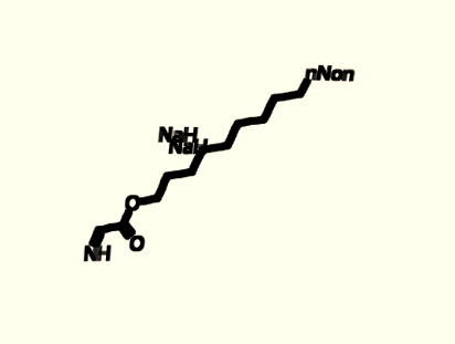 CCCCCCCCCCCCCCCCCCOC(=O)C=N.[NaH].[NaH]